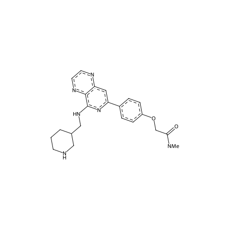 CNC(=O)COc1ccc(-c2cc3nccnc3c(NCC3CCCNC3)n2)cc1